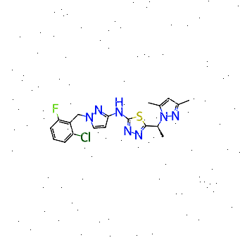 Cc1cc(C)n([C@@H](C)c2nnc(Nc3ccn(Cc4c(F)cccc4Cl)n3)s2)n1